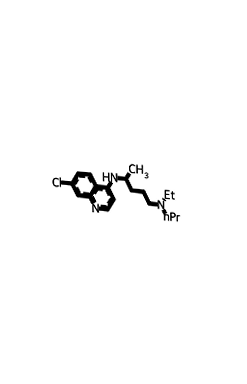 CCCN(CC)CCCC(C)Nc1ccnc2cc(Cl)ccc12